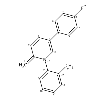 C=C1C=CC(c2ccc(F)cc2)=CN1c1ccccc1C